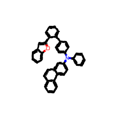 c1ccc(N(c2ccc(-c3ccccc3-c3cc4ccccc4o3)cc2)c2ccc3c(ccc4ccccc43)c2)cc1